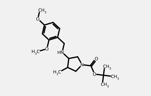 COc1ccc(CNC2CN(C(=O)OC(C)(C)C)CC2C)c(OC)c1